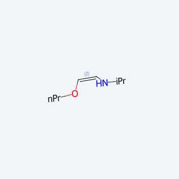 CCCO/C=C\NC(C)C